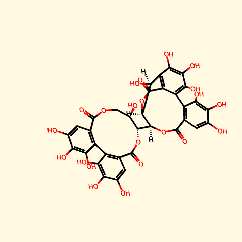 O=C1OC[C@@H](O)[C@H]([C@@H]2OC(=O)c3cc(O)c(O)c(O)c3-c3c(O)c(O)c(O)c4c3C(=O)O[C@H]2[C@H]4O)OC(=O)c2cc(O)c(O)c(O)c2-c2c1cc(O)c(O)c2O